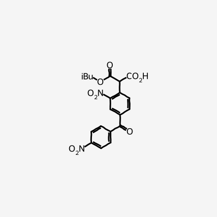 CCC(C)OC(=O)C(C(=O)O)c1ccc(C(=O)c2ccc([N+](=O)[O-])cc2)cc1[N+](=O)[O-]